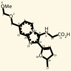 COCOCc1ccn2c(NCC(=O)O)c(C3=CCC(C)O3)nc2c1